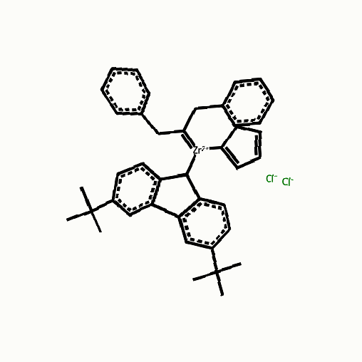 CC(C)(C)c1ccc2c(c1)-c1cc(C(C)(C)C)ccc1[CH]2[Zr+2]([C]1=CC=CC1)=[C](Cc1ccccc1)Cc1ccccc1.[Cl-].[Cl-]